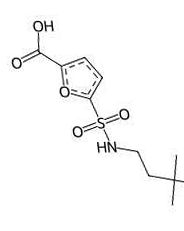 CC(C)(C)CCNS(=O)(=O)c1ccc(C(=O)O)o1